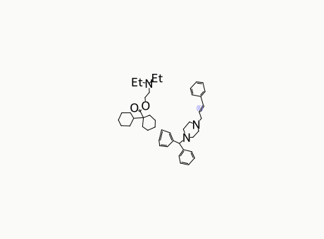 C(=C\c1ccccc1)/CN1CCN(C(c2ccccc2)c2ccccc2)CC1.CCN(CC)CCOC(=O)C1(C2CCCCC2)CCCCC1